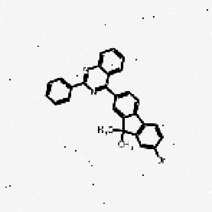 CC1(C)c2cc(Br)ccc2-c2ccc(-c3nc(-c4ccccc4)nc4ccccc34)cc21